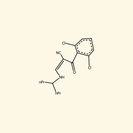 CCCC(CCC)N/C=C(/C#N)C(=O)c1c(Cl)cccc1Cl